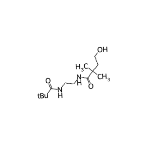 CC(C)(C)C(=O)NCCNC(=O)C(C)(C)CCO